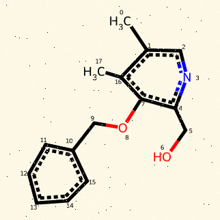 Cc1cnc(CO)c(OCc2ccccc2)c1C